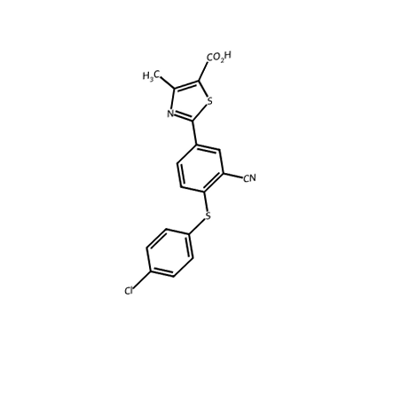 Cc1nc(-c2ccc(Sc3ccc(Cl)cc3)c(C#N)c2)sc1C(=O)O